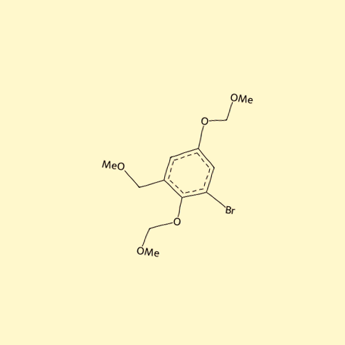 COCOc1cc(Br)c(OCOC)c(COC)c1